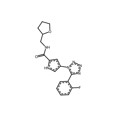 O=C(NCC1CCCO1)c1cc(-n2nnnc2-c2ccccc2F)c[nH]1